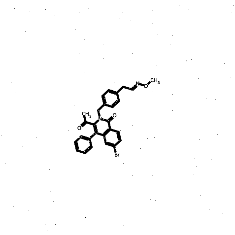 CON=CCc1ccc(Cn2c(C(C)=O)c(-c3ccccc3)c3cc(Br)ccc3c2=O)cc1